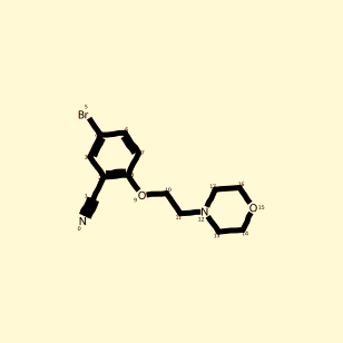 N#Cc1cc(Br)ccc1OCCN1CCOCC1